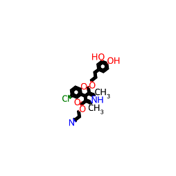 CC1=C(C(=O)OCCC#N)C(c2cccc(Cl)c2)C(C(=O)OCCCc2ccc(O)c(O)c2)=C(C)N1